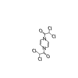 O=C(C(Cl)Cl)N1C=CN(C(=O)C(Cl)Cl)C=C1